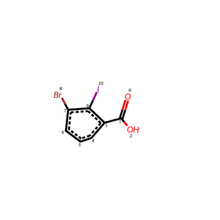 O=C(O)c1cccc(Br)c1I